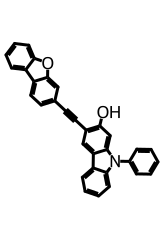 Oc1cc2c(cc1C#Cc1ccc3c(c1)oc1ccccc13)c1ccccc1n2-c1ccccc1